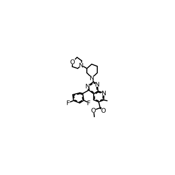 COC(=O)c1cc2c(-c3ccc(F)cc3F)nc(N3CCCC(N4CCOCC4)C3)nc2nc1C